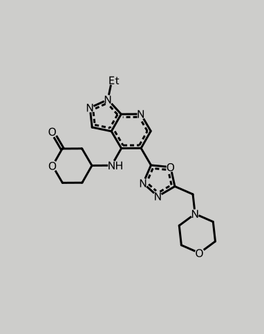 CCn1ncc2c(NC3CCOC(=O)C3)c(-c3nnc(CN4CCOCC4)o3)cnc21